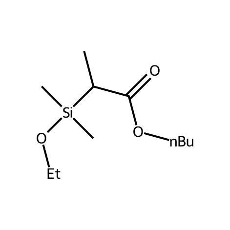 CCCCOC(=O)C(C)[Si](C)(C)OCC